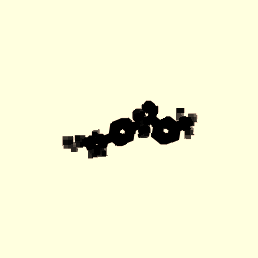 C=CC(c1cccc(C(F)(F)F)c1)S(=O)(=O)c1ccc(-c2nnc(N)s2)cc1